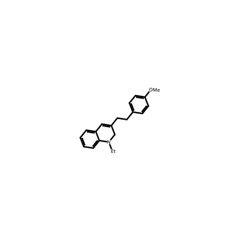 CCN1CC(CCc2ccc(OC)cc2)=Cc2ccccc21